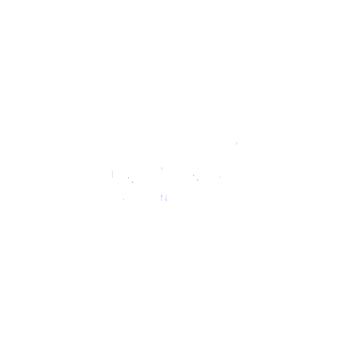 CCN(C(=O)C1CCCN(C2CCN(C(=O)c3c4ccccc4cc4ccccc34)CC2)C1)c1ccccc1C